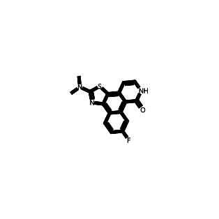 CN(C)c1nc2c3ccc(F)cc3c3c(=O)[nH]ccc3c2s1